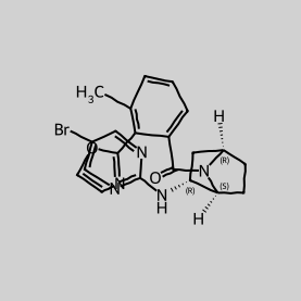 Cc1cccc(C(=O)N2[C@@H]3CC[C@H]2[C@H](Nc2ncc(Br)cn2)C3)c1-c1ncco1